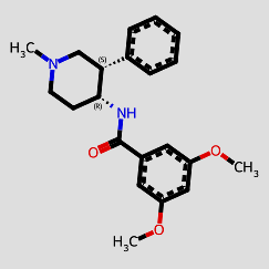 COc1cc(OC)cc(C(=O)N[C@@H]2CCN(C)C[C@@H]2c2ccccc2)c1